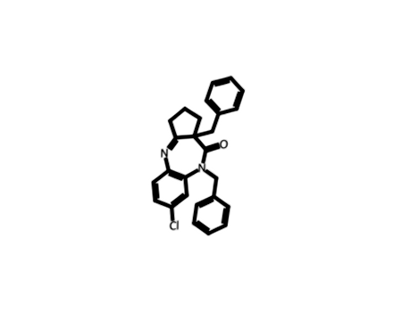 O=C1N(Cc2ccccc2)c2cc(Cl)ccc2N=C2CCCC12Cc1ccccc1